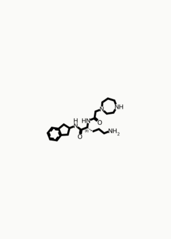 NCCC[C@@H](NC(=O)CN1CCCNCC1)C(=O)NC1Cc2ccccc2C1